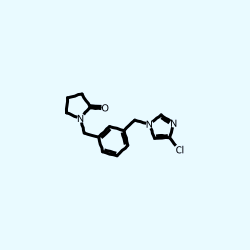 O=C1CCCN1Cc1cccc(Cn2cnc(Cl)c2)c1